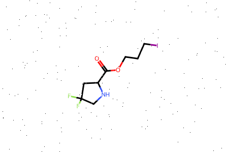 O=C(OCCCI)C1CC(F)(F)CN1